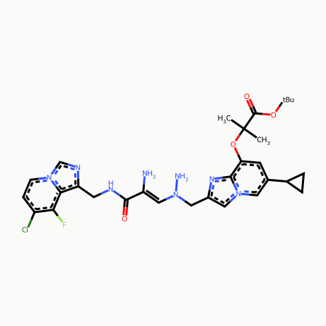 CC(C)(C)OC(=O)C(C)(C)Oc1cc(C2CC2)cn2cc(CN(N)/C=C(\N)C(=O)NCc3ncn4ccc(Cl)c(F)c34)nc12